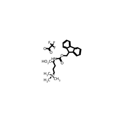 C[N+](C)(C)CCC[C@H](NC(=O)OCC1c2ccccc2-c2ccccc21)C(=O)O.O=C([O-])C(F)(F)F